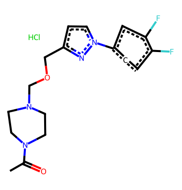 CC(=O)N1CCN(COCc2ccn(-c3ccc(F)c(F)c3)n2)CC1.Cl